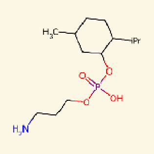 CC1CCC(C(C)C)C(OP(=O)(O)OCCCN)C1